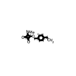 C=Cc1ccc(COc2c(NC)c(=O)c2=O)cc1